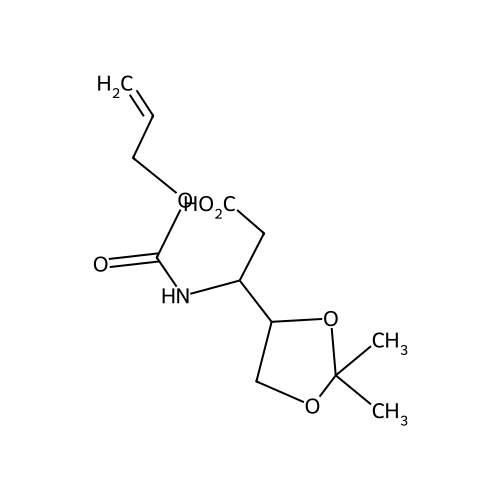 C=CCOC(=O)NC(CC(=O)O)C1COC(C)(C)O1